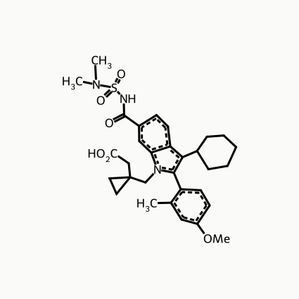 COc1ccc(-c2c(C3CCCCC3)c3ccc(C(=O)NS(=O)(=O)N(C)C)cc3n2CC2(CC(=O)O)CC2)c(C)c1